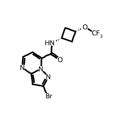 O=C(N[C@H]1C[C@@H](OC(F)(F)F)C1)c1ccnc2cc(Br)nn12